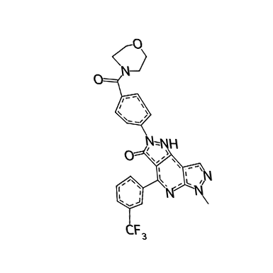 Cn1ncc2c3[nH]n(-c4ccc(C(=O)N5CCOCC5)cc4)c(=O)c3c(-c3cccc(C(F)(F)F)c3)nc21